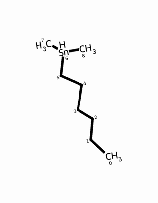 CCCCC[CH2][SnH]([CH3])[CH3]